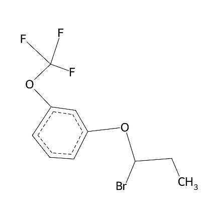 CCC(Br)Oc1cccc(OC(F)(F)F)c1